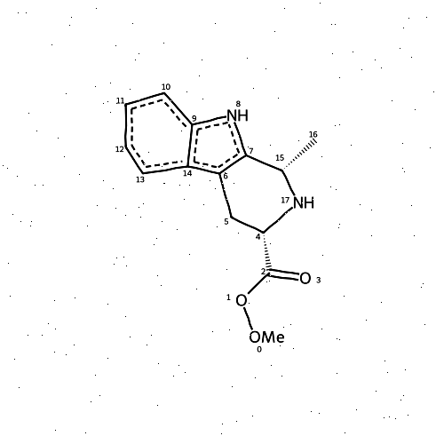 COOC(=O)[C@@H]1Cc2c([nH]c3ccccc23)[C@H](C)N1